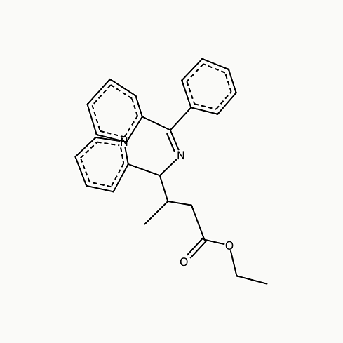 CCOC(=O)CC(C)C(N=C(c1ccccc1)c1ccccc1)c1ccccn1